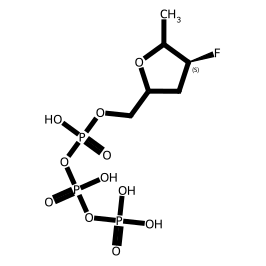 CC1OC(COP(=O)(O)OP(=O)(O)OP(=O)(O)O)C[C@@H]1F